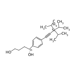 CC(C)[Si](C#Cc1ccc([C@H](O)CCCO)cc1)(C(C)C)C(C)C